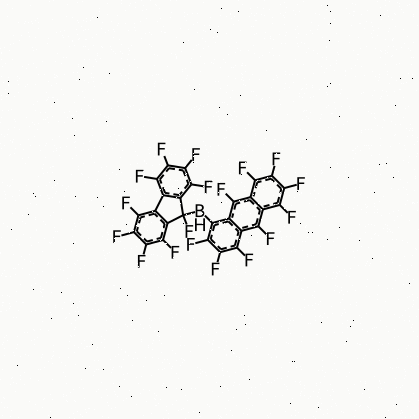 Fc1c(F)c(F)c2c(c1F)-c1c(F)c(F)c(F)c(F)c1C2(F)Bc1c(F)c(F)c(F)c2c(F)c3c(F)c(F)c(F)c(F)c3c(F)c12